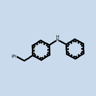 CC(C)Cc1ccc(Nc2ccccc2)cc1